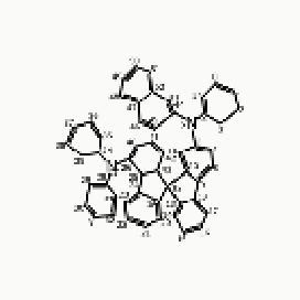 C1=CCCC(N(c2ccc3c(c2)C2(c4ccccc4-3)c3ccccc3C3C(N(c4ccccc4)C4C=CC=CC4)=CC=CC32)c2ccc3ccccc3c2)=C1